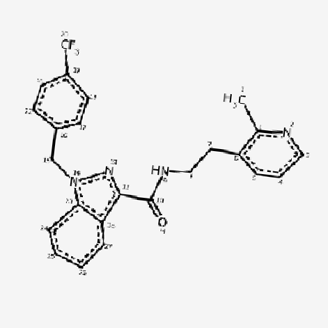 Cc1ncccc1CCNC(=O)c1nn(Cc2ccc(C(F)(F)F)cc2)c2ccccc12